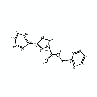 O=C(OCc1ccccc1)N1C=C(c2ccccc2)CC1